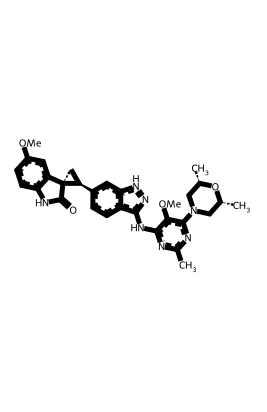 COc1ccc2c(c1)[C@]1(C[C@H]1c1ccc3c(Nc4nc(C)nc(N5C[C@@H](C)O[C@@H](C)C5)c4OC)n[nH]c3c1)C(=O)N2